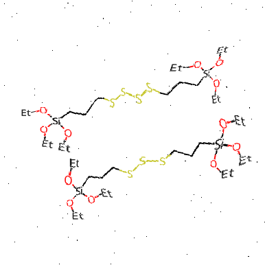 CCO[Si](CCCSSSCCC[Si](OCC)(OCC)OCC)(OCC)OCC.CCO[Si](CCCSSSSCCC[Si](OCC)(OCC)OCC)(OCC)OCC